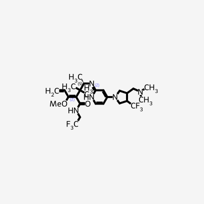 C=C/C(OC)=C(/C(=O)NCC(F)(F)F)C(C)(C)[C@H](C)/N=c1/cc(N2CC(CN(C)C)C(C(F)(F)F)C2)cc[nH]1